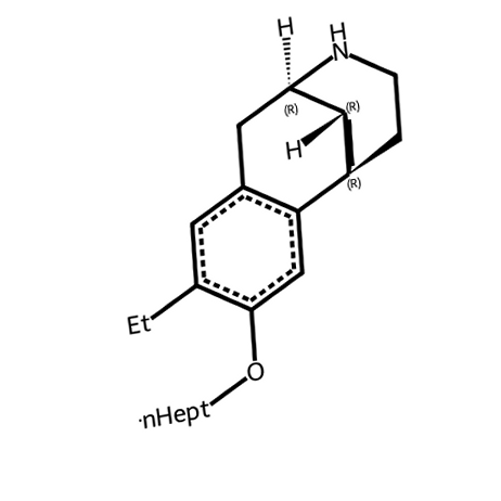 CCCCCC[CH]Oc1cc2c(cc1CC)C[C@H]1NCC[C@@]23CCCC[C@@H]13